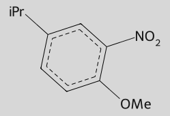 COc1ccc(C(C)C)cc1[N+](=O)[O-]